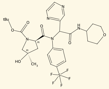 CC(C)(C)OC(=O)N1C[C@](C)(O)C[C@@H]1C(=O)N(c1ccc(S(F)(F)(F)(F)F)cc1)C(C(=O)NC1CCOCC1)c1cnccn1